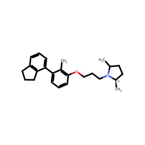 Cc1c(OCCCN2C(C)CC[C@H]2C)cccc1-c1cccc2c1CCC2